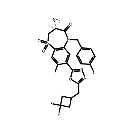 N[C@H]1CS(=O)(=O)c2cc(F)c(-c3nnc(CC4CC(F)(F)C4)o3)cc2N(Cc2ccc(Cl)cc2)C1=O